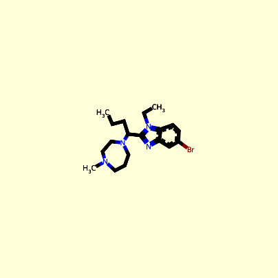 CCCC(c1nc2cc(Br)ccc2n1CC)N1CCCN(C)CC1